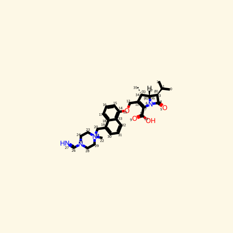 CC(C)[C@H]1C(=O)N2C(C(=O)O)=C(COc3cccc4c(C[N+]5(C)CCN(C=N)CC5)cccc34)[C@H](C)[C@H]12